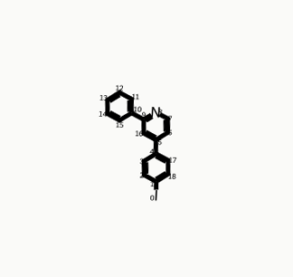 Ic1ccc(-c2ccnc(-c3ccccc3)c2)cc1